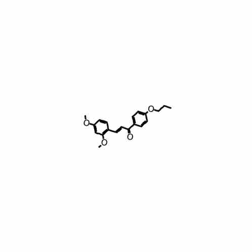 CCCOc1ccc(C(=O)C=Cc2ccc(OC)cc2OC)cc1